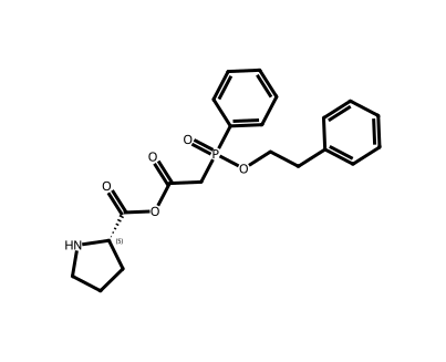 O=C(CP(=O)(OCCc1ccccc1)c1ccccc1)OC(=O)[C@@H]1CCCN1